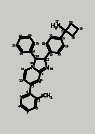 Cc1ccccc1C1=NC2=NC(c3ccc(C4(N)CCC4)cc3)C(c3ccccc3)N2C=C1